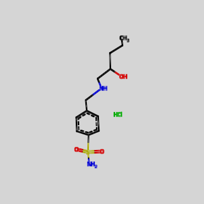 CCCC(O)CNCc1ccc(S(N)(=O)=O)cc1.Cl